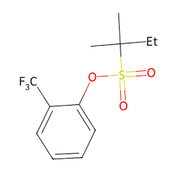 CCC(C)(C)S(=O)(=O)Oc1ccccc1C(F)(F)F